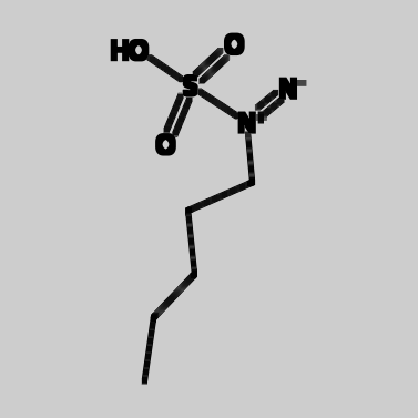 CCCCC[N+](=[N-])S(=O)(=O)O